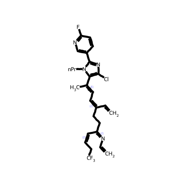 C=C/N=C(\C=C/CC(F)(F)F)CC/C(C=C)=C/C=C(\C)c1c(Cl)nc(-c2ccc(F)nc2)n1CCC